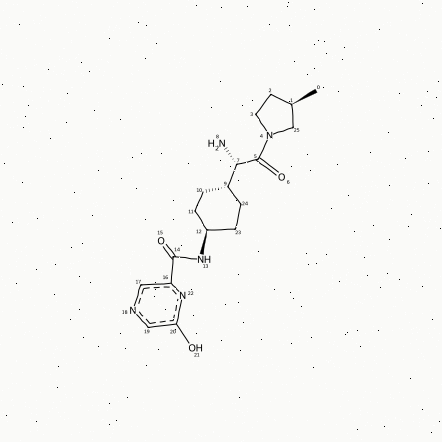 C[C@@H]1CCN(C(=O)[C@@H](N)[C@H]2CC[C@H](NC(=O)c3cncc(O)n3)CC2)C1